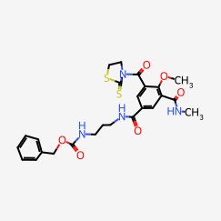 CNC(=O)c1cc(C(=O)NCCCNC(=O)OCc2ccccc2)cc(C(=O)N2CCSC2=S)c1OC